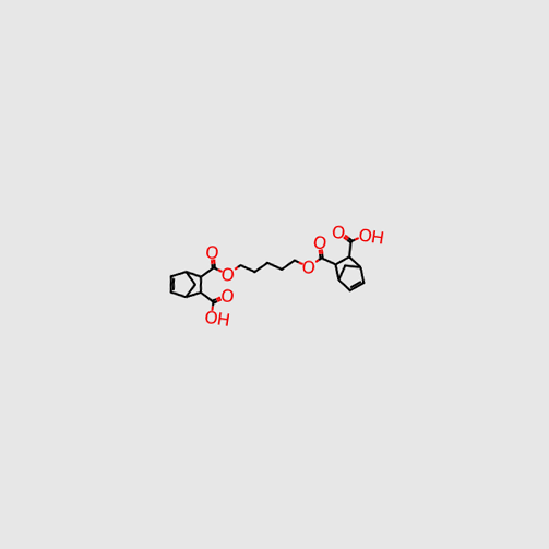 O=C(O)C1C2C=CC(C2)C1C(=O)OCCCCCOC(=O)C1C2C=CC(C2)C1C(=O)O